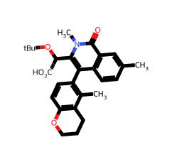 Cc1ccc2c(-c3ccc4c(c3C)CCCO4)c(C(OC(C)(C)C)C(=O)O)n(C)c(=O)c2c1